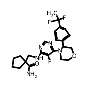 CC(F)(F)c1ccc(C2COCCN2c2ncnc(NCC3(C(N)=O)CCCC3)c2F)cc1